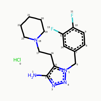 Cl.Nc1nnn(Cc2ccc(F)c(F)c2)c1CCN1CCCCC1